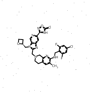 Cc1cc2c(nc1NCc1c(F)cc(Cl)cc1F)CN(Cc1nc3cc(-c4noc(=O)[nH]4)ncc3n1C[C@@H]1CCO1)CC2